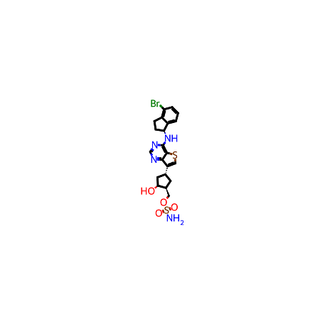 NS(=O)(=O)OC[C@@H]1C[C@@H](c2csc3c(N[C@@H]4CCc5c(Br)cccc54)ncnc23)C[C@@H]1O